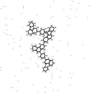 c1ccc2c(c1)-c1cccc3cc(-c4ccc(-c5cc6ccccc6c6cc(-c7ccc8c(ccc9c%10ccccc%10n(-c%10ccc(-c%11cc%12c%13c(cccc%13c%11)-c%11ccccc%11-%12)cc%10)c89)c7)ccc56)cc4)cc-2c13